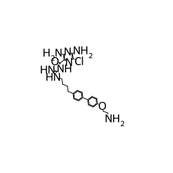 N=C(NCCCCc1ccc(-c2ccc(OCCN)cc2)cc1)NC(=O)c1nc(Cl)c(N)nc1N